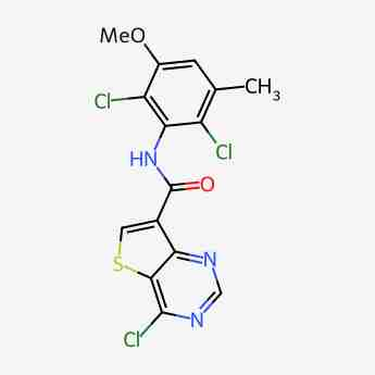 COc1cc(C)c(Cl)c(NC(=O)c2csc3c(Cl)ncnc23)c1Cl